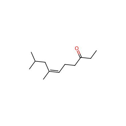 CCC(=O)CCC=C(C)CC(C)C